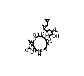 CC[C@H]1OC(=O)C(C)C(=O)[C@H](C)[C@@H](OC2OC(CN(C)CC3CC3)CC(N(C)C)C2O)[C@](C)(OC)C[C@@H](C)CN[C@H](C)[C@H]2NC(=O)O[C@@]21CC